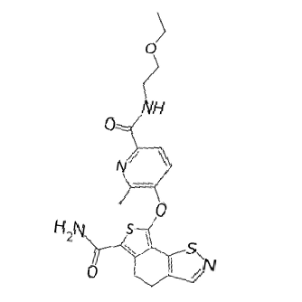 CCOCCNC(=O)c1ccc(Oc2sc(C(N)=O)c3c2-c2sncc2CC3)c(C)n1